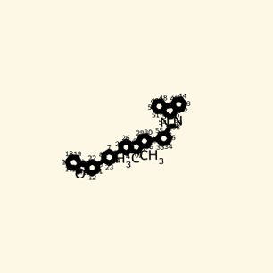 CC1(C)c2cc(-c3ccc(-c4ccc5oc6ccccc6c5c4)cc3)ccc2-c2ccc(-c3cccc(-c4cnc5c6ccccc6c6ccccc6c5n4)c3)cc21